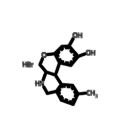 Br.Cc1ccc2c(c1)C1c3cc(O)c(O)cc3OCC1NC2